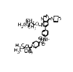 CC(C)(C)OC(=O)N1CCC(S(=O)(=O)Nc2ccc(-c3cc4c(N5CCOCC5)ncnc4n3COCC[Si](C)(C)C)cc2)CC1